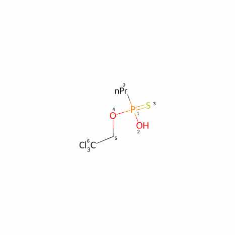 CCCP(O)(=S)OCC(Cl)(Cl)Cl